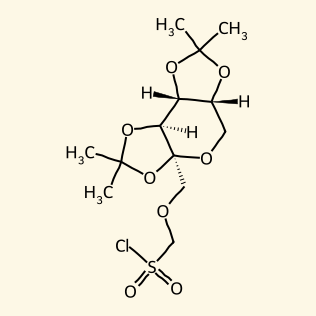 CC1(C)O[C@@H]2[C@@H](CO[C@@]3(COCS(=O)(=O)Cl)OC(C)(C)O[C@@H]23)O1